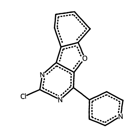 Clc1nc(-c2ccncc2)c2oc3ccccc3c2n1